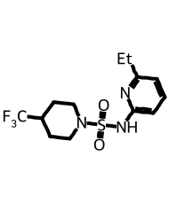 CCc1cccc(NS(=O)(=O)N2CCC(C(F)(F)F)CC2)n1